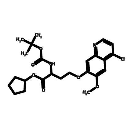 COc1cc2c(Cl)ccnc2cc1OCCC(NC(=O)OC(C)(C)C)C(=O)OC1CCCC1